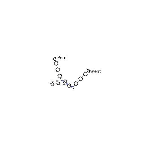 CCCCCOc1ccc(-c2ccc(-c3ccc(/C(C)=c4/cc/c(=c5/cc/c(=C(\c6ccc(-c7ccc(-c8ccc(OCCCCC)cc8)cc7)cc6)c6ccc(-c7ccc(C)s7)s6)s5)s4)cc3)cc2)cc1